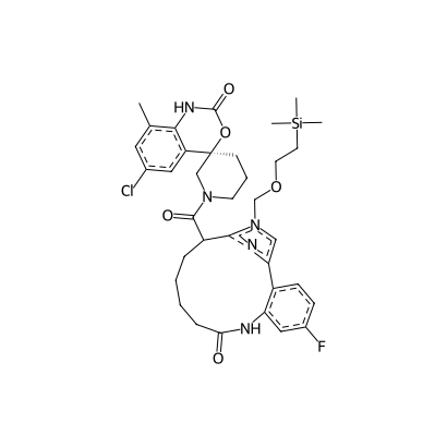 Cc1cc(Cl)cc2c1NC(=O)O[C@]21CCCN(C(=O)C2CCCCC(=O)Nc3cc(F)ccc3-c3cn(COCC[Si](C)(C)C)c2n3)C1